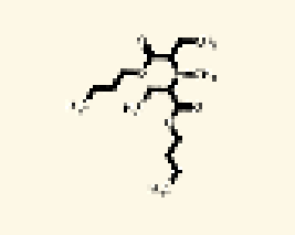 CCCCOC(=O)C(CC)N(C)C(CC)C(=O)OCCCC